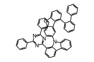 c1ccc(-c2nc(-c3ccccc3)nc(-c3cccc4c5ccccc5n(-c5ccc6oc7cccc(-c8ccccc8-c8ccccc8)c7c6c5)c34)n2)cc1